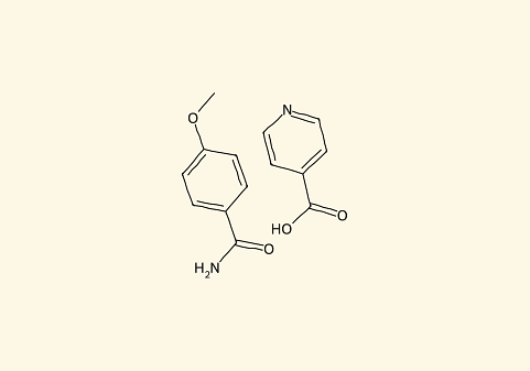 COc1ccc(C(N)=O)cc1.O=C(O)c1ccncc1